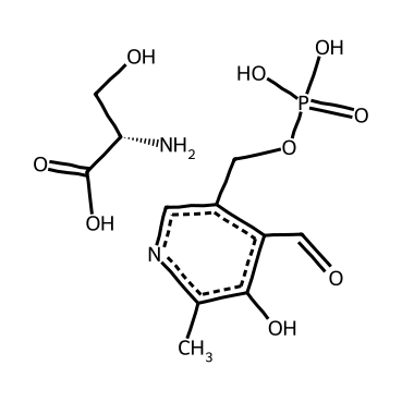 Cc1ncc(COP(=O)(O)O)c(C=O)c1O.N[C@@H](CO)C(=O)O